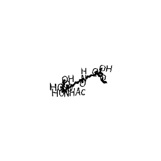 C/C=C\O[C@@H]1C[C@@H](CO)N(C(=O)CCCCCNC(=O)CCCCCOC2OC(CO)C(O)C(O)C2NC(C)=O)C1